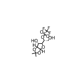 CC1(C)O[C@H]2O[C@H]([C@@H](CO)OS(=O)(=O)C(F)(F)F)[C@@H](O)[C@H]2O1